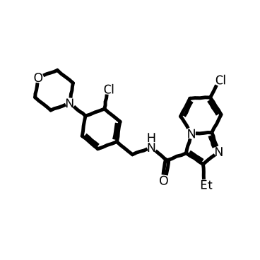 CCc1nc2cc(Cl)ccn2c1C(=O)NCC1=CC(Cl)C(N2CCOCC2)C=C1